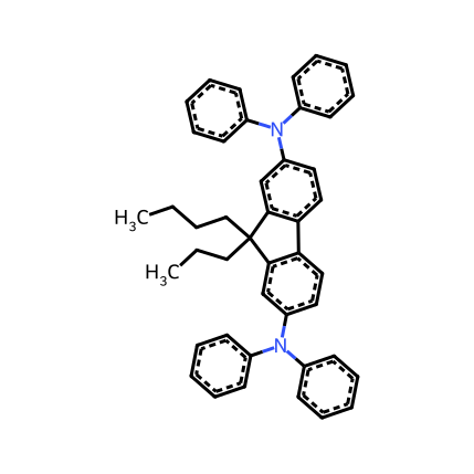 CCCCC1(CCC)c2cc(N(c3ccccc3)c3ccccc3)ccc2-c2ccc(N(c3ccccc3)c3ccccc3)cc21